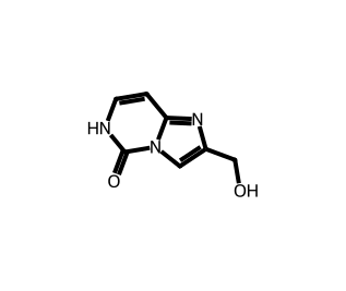 O=c1[nH]ccc2nc(CO)cn12